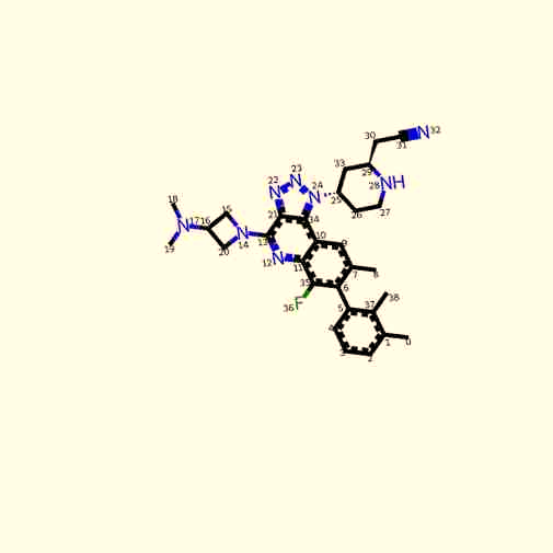 Cc1cccc(-c2c(C)cc3c(nc(N4CC(N(C)C)C4)c4nnn([C@H]5CCN[C@H](CC#N)C5)c43)c2F)c1C